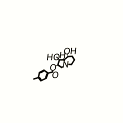 Cc1ccc(C(=O)O[C@@H]2CN3CCC[C@@H](O)[C@@H]3[C@@H]2O)cc1